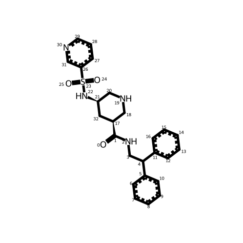 O=C(NCC(c1ccccc1)c1ccccc1)[C@@H]1CNC[C@H](NS(=O)(=O)c2cccnc2)C1